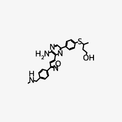 CNCc1ccc(-c2cc(-c3nc(-c4ccc(SC(C)CCO)cc4)cnc3N)on2)cc1